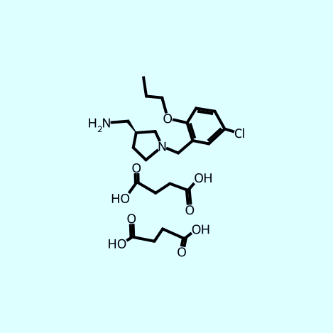 CCCOc1ccc(Cl)cc1CN1CC[C@@H](CN)C1.O=C(O)CCC(=O)O.O=C(O)CCC(=O)O